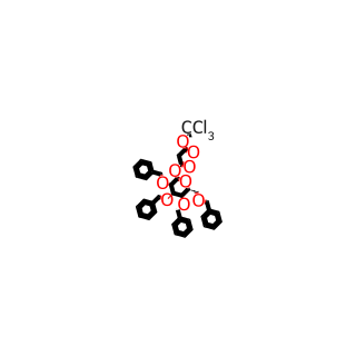 O=C(CC(=O)OC1O[C@H](COCc2ccccc2)[C@@H](OCc2ccccc2)[C@H](OCc2ccccc2)[C@H]1OCc1ccccc1)OCC(Cl)(Cl)Cl